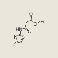 Cc1csc(NC(=O)CC(=O)OC(C)C)n1